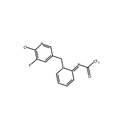 O=C(/N=c1\ccccn1Cc1cnc(Cl)c(F)c1)C(F)(F)F